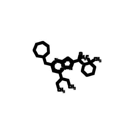 CCC(CC)c1cc(CC2CCCCCC2)nc2cc(C(=O)N3CCCCC3(C)C)nn12